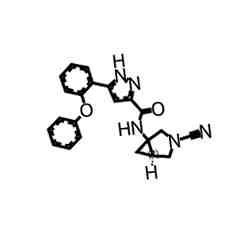 N#CN1C[C@H]2CC2(NC(=O)c2cc(-c3ccccc3Oc3ccccc3)[nH]n2)C1